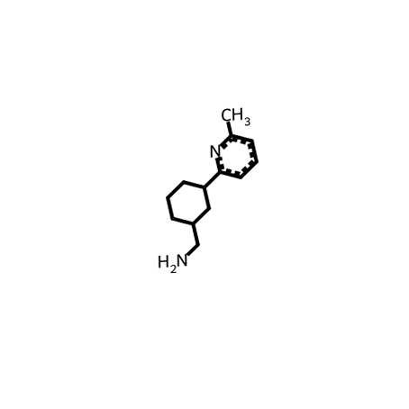 Cc1cccc(C2CCCC(CN)C2)n1